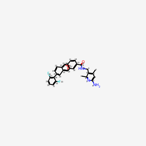 Cc1cc(N)nc(C)c1CNC(=O)c1ccc2c(c1)c1oc2c2ccc(-c3c(F)cccc3F)cc21